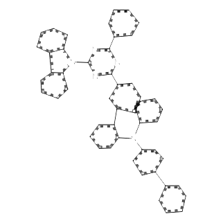 c1ccc(-c2ccc(N(c3ccccc3)c3ccccc3-c3cccc(-c4nc(-c5ccccc5)nc(-n5c6ccccc6c6ccccc65)n4)c3)cc2)cc1